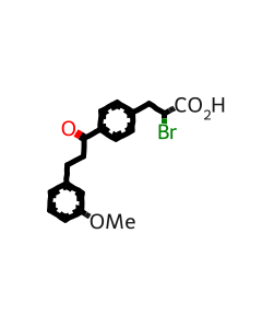 COc1cccc(CCC(=O)c2ccc(CC(Br)C(=O)O)cc2)c1